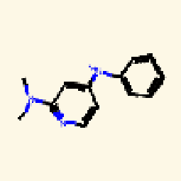 CN(C)c1cc(Nc2ccccc2)ccn1